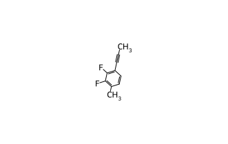 CC#Cc1ccc(C)c(F)c1F